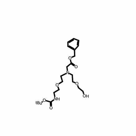 CC(C)(C)OC(=O)NCCOCCN(CCOCCO)CC(=O)OCc1ccccc1